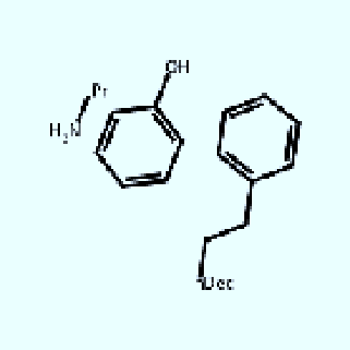 CC(C)N.CCCCCCCCCCCCc1ccccc1.Oc1ccccc1